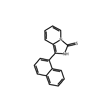 S=c1[nH]c(-c2cccc3ccccc23)c2ccccn12